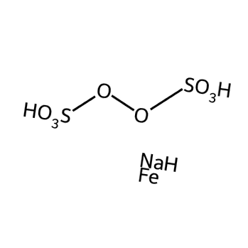 O=S(=O)(O)OOS(=O)(=O)O.[Fe].[NaH]